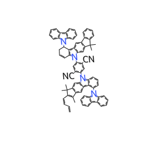 C=C/C=C\C1=C(C)c2cc3c4c(-n5c6ccccc6c6ccccc65)cccc4n(-c4cc(C#N)c(-n5c6c(c7cc8c(cc75)C(C)(C)c5ccccc5-8)C(n5c7ccccc7c7ccccc75)CC=C6)cc4C#N)c3cc2C1(C)C